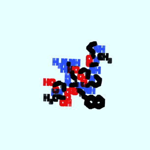 C[C@@H](NC(=O)[C@H](CC(=O)O)NC(=O)[C@H](CCCNC(=N)N)NC(=O)[C@H](Cc1ccc2ccccc2c1)NC(=O)[C@@H]1CCCCN1C(=O)[C@@H](CC(=O)O)NC(=O)CN(C)C(=O)[C@@H]1CCCN1)C(=O)O